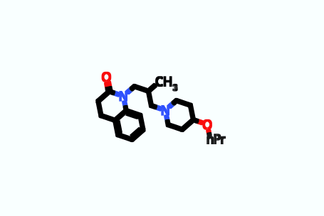 CCCOC1CCN(CC(C)CN2C(=O)CCc3ccccc32)CC1